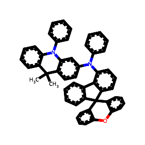 CC1(C)c2ccccc2N(c2ccccc2)c2cc(N(c3ccccc3)c3cccc4c3-c3ccccc3C43c4ccccc4Oc4ccccc43)ccc21